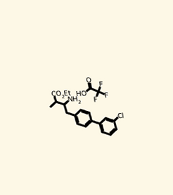 CCOC(=O)C(C)C(N)Cc1ccc(-c2cccc(Cl)c2)cc1.O=C(O)C(F)(F)F